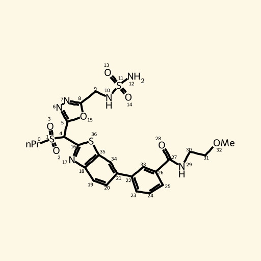 CCCS(=O)(=O)C(c1nnc(CNS(N)(=O)=O)o1)c1nc2ccc(-c3cccc(C(=O)NCCOC)c3)cc2s1